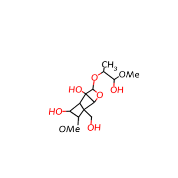 COC(O)C(C)OC1OC2C1(O)C1C(O)C(OC)C21CO